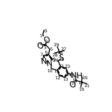 CCOC(=O)Cc1cnn(Cc2ccc(NC(=O)C(C)(C)C)cc2CSC(C)(C)C)c1